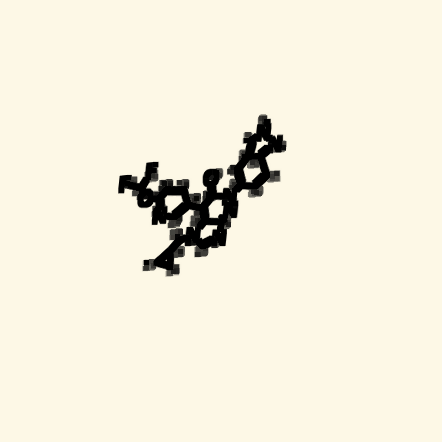 Cn1cc2cc(-n3nc4ncn(CC5CC5)c4c(-c4ccc(OC(F)F)nc4)c3=O)ccc2n1